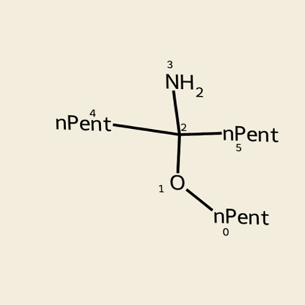 CCCCCOC(N)(CCCCC)CCCCC